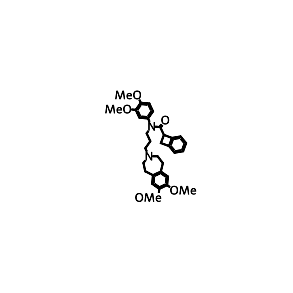 COc1ccc(N(CCCN2CCc3cc(OC)c(OC)cc3CC2)C(=O)C2Cc3ccccc32)cc1OC